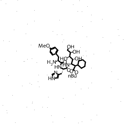 CCCCOC(=O)C(C1CCCCC1)[C@H](NC(=O)[C@H](Cc1c[nH]cn1)NC(=O)[C@@H](N)Cc1ccc(OC)cc1)[C@@H](O)[C@@H](O)[C@H](O)CO